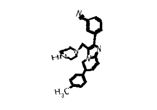 Cc1ccc(-c2ccc3nc(-c4cccc(C#N)c4)c(CN4CCNCC4)n3c2)cc1